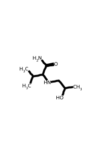 CC(O)CNC(C(N)=O)C(C)C